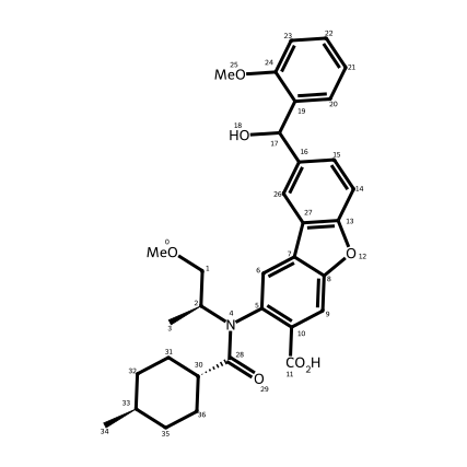 COC[C@H](C)N(c1cc2c(cc1C(=O)O)oc1ccc(C(O)c3ccccc3OC)cc12)C(=O)[C@H]1CC[C@H](C)CC1